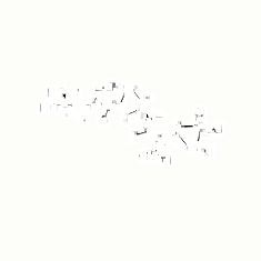 O=C(NC1CCS(O)(O)C1)c1cc(NC(=O)C2C(c3cc(Cl)c(Cl)c(Cl)c3)C2(Cl)Cl)ccc1Cl